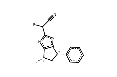 N#CC(F)c1nc2n(n1)[C@H](c1ccccc1)C[C@@H]2F